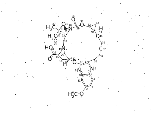 COc1ccc2nc3c(nc2c1)O[C@@H]1C[C@@H](C(=O)O)N(C1)C(=O)[C@H](C(C)(C)C)NC(=O)OC1C[C@H]1CCCCC3